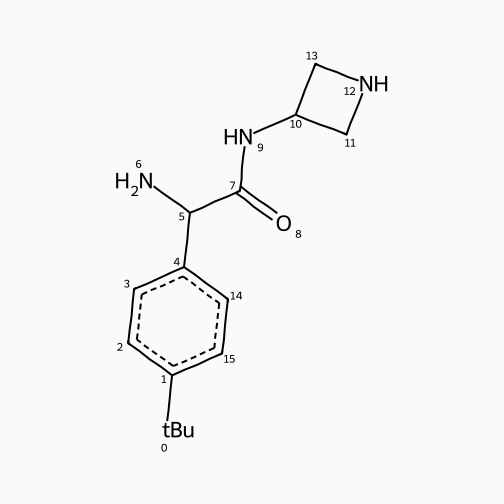 CC(C)(C)c1ccc(C(N)C(=O)NC2CNC2)cc1